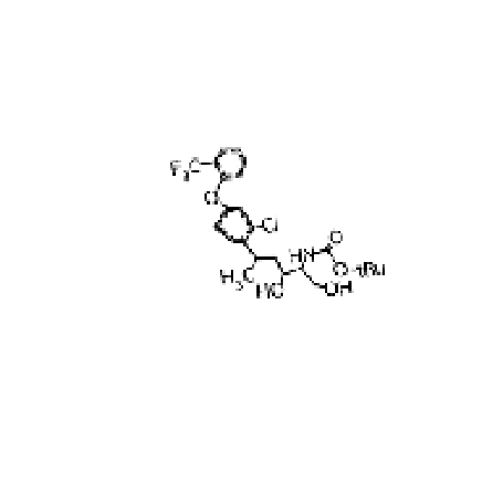 CC(CC(O)C(CO)NC(=O)OC(C)(C)C)c1ccc(Oc2ccccc2C(F)(F)F)cc1Cl